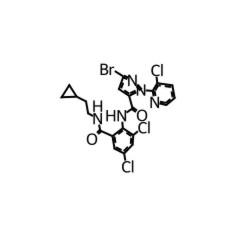 O=C(NCCC1CC1)c1cc(Cl)cc(Cl)c1NC(=O)c1cc(Br)nn1-c1ncccc1Cl